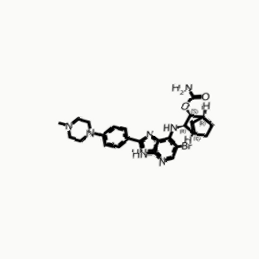 CN1CCN(c2ccc(-c3nc4c(N[C@@H]5[C@H]6CC[C@H](C6)[C@@H]5OC(N)=O)c(Br)cnc4[nH]3)cc2)CC1